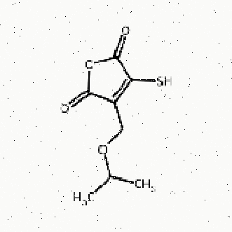 CC(C)OCC1=C(S)C(=O)OC1=O